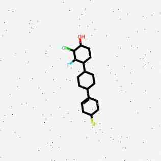 OC1CCC(C2CCC(C3=CCC(S)CC3)CC2)C(F)C1Cl